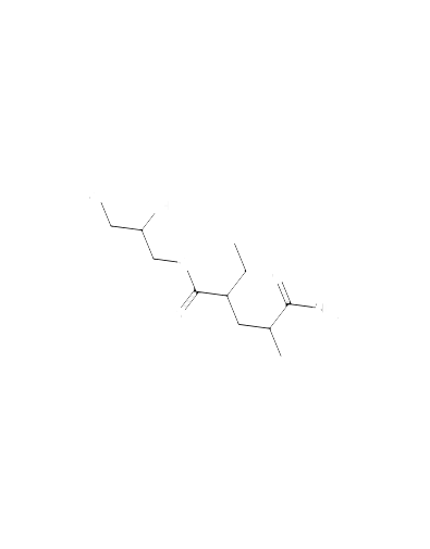 CCC(CC(C)C(N)=O)C(=O)OCC(O)CCl